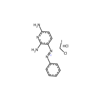 Cl.ClCI.Nc1ccc(/N=N/c2ccccc2)c(N)n1